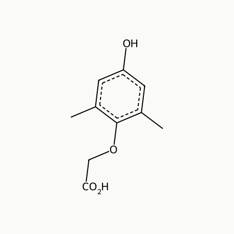 Cc1cc(O)cc(C)c1OCC(=O)O